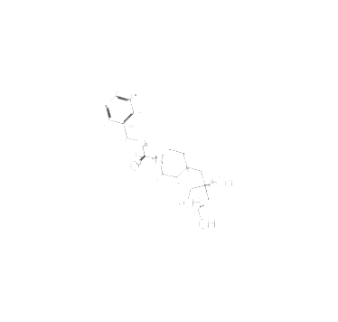 CCCC(C)(CC)CC1CCN(C(=O)OCc2ccccc2)CC1